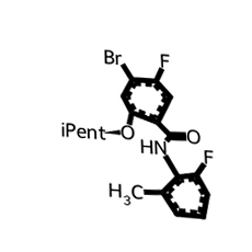 CCC[C@H](C)Oc1cc(Br)c(F)cc1C(=O)Nc1c(C)cccc1F